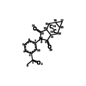 CC(=O)c1cccc(N2C(=O)C3C4CCC(C5CC54)C3C2=O)c1